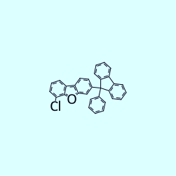 Clc1cccc2c1oc1cc(C3(c4ccccc4)c4ccccc4-c4ccccc43)ccc12